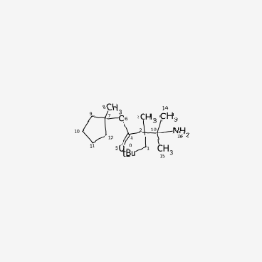 CC(C)(C)CC(C)(C(=O)OC1(C)CCCC1)C(C)(C)N